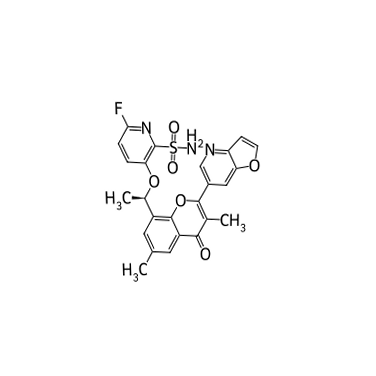 Cc1cc([C@@H](C)Oc2ccc(F)nc2S(N)(=O)=O)c2oc(-c3cnc4ccoc4c3)c(C)c(=O)c2c1